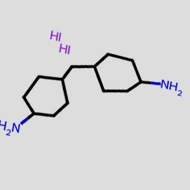 I.I.NC1CCC(CC2CCC(N)CC2)CC1